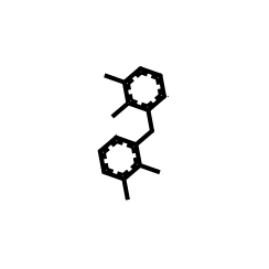 Cc1cc[c]c(Cc2[c]ccc(C)c2C)c1C